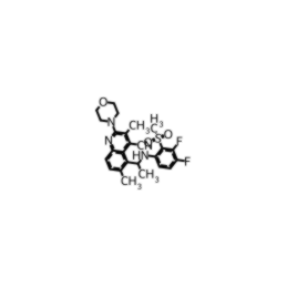 Cc1ccc2nc(N3CCOCC3)c(C)c(C#N)c2c1C(C)Nc1ccc(F)c(F)c1S(C)(=O)=O